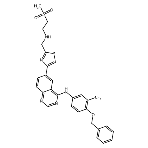 CS(=O)(=O)CCNCc1nc(-c2ccc3ncnc(Nc4ccc(OCc5ccccc5)c(C(F)(F)F)c4)c3c2)cs1